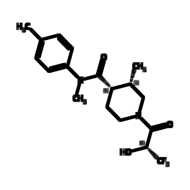 Cc1ccc(N(C)C(=O)[C@H]2CCN(C(=O)[C@@H](O)C(F)(F)F)C[C@H]2C)cc1